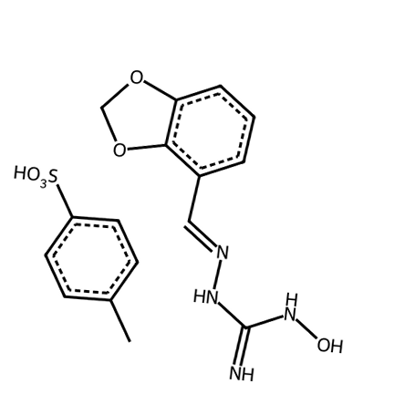 Cc1ccc(S(=O)(=O)O)cc1.N=C(NO)NN=Cc1cccc2c1OCO2